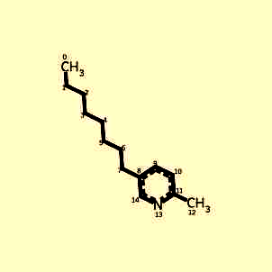 CCCCCCCCc1ccc(C)nc1